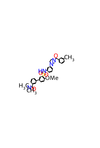 COc1ccc(-c2cccc(C(=O)N(C)C)c2)cc1S(=O)(=O)Nc1cccc(N2CCN(C(=O)c3cccc(C)c3)C2)c1